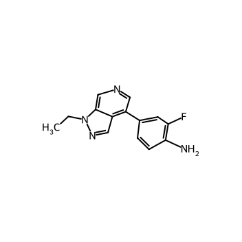 CCn1ncc2c(-c3ccc(N)c(F)c3)cncc21